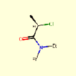 CCN(CC)C(=O)[C@@H](C)Cl